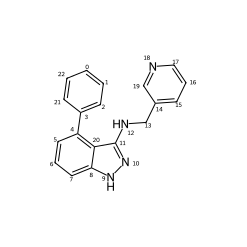 c1ccc(-c2cccc3[nH]nc(NCc4cccnc4)c23)cc1